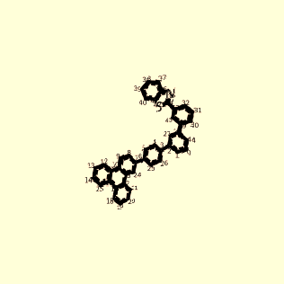 c1cc(-c2ccc(-c3ccc4c5ccccc5c5ccccc5c4c3)cc2)cc(-c2cccc(-c3nc4ccccc4s3)c2)c1